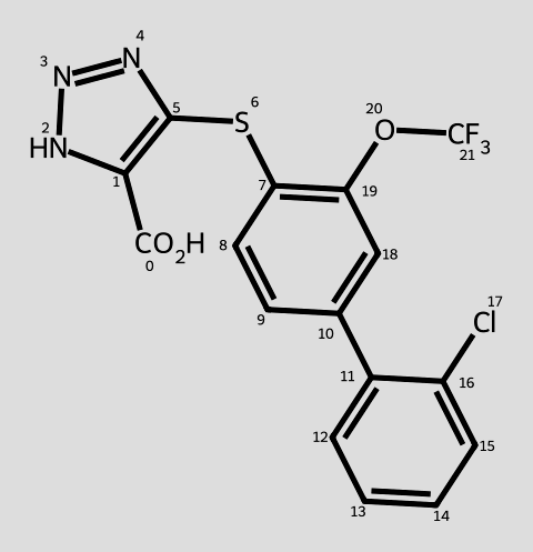 O=C(O)c1[nH]nnc1Sc1ccc(-c2ccccc2Cl)cc1OC(F)(F)F